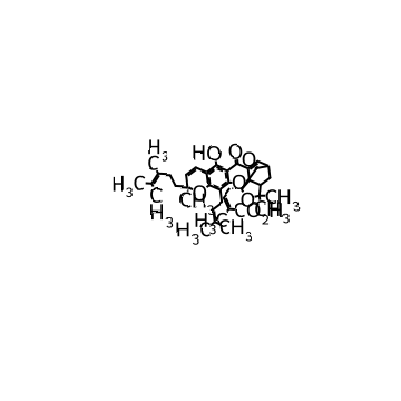 CC(C)=CCc1c2c(c(O)c3c1O[C@]14C(=CC5CC1C(C)(C)O[C@@]4(C/C=C(/C)C(=O)O)C5=O)C3=O)C=C[C@](C)(CCC(C)=C(C)C)O2